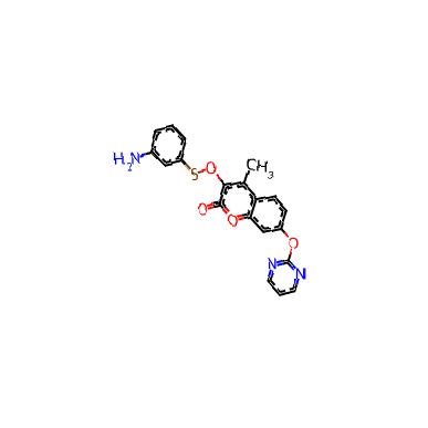 Cc1c(OSc2cccc(N)c2)c(=O)oc2cc(Oc3ncccn3)ccc12